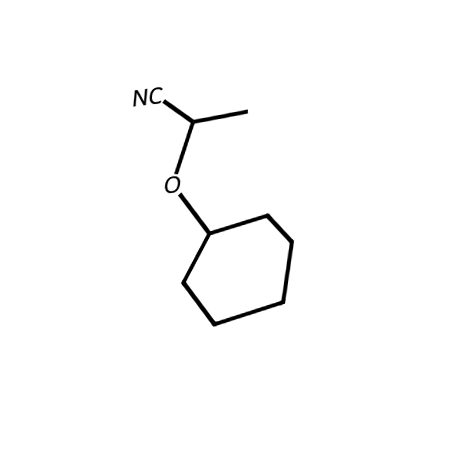 CC(C#N)OC1CCCCC1